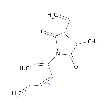 C=C/C=C\C(=C/C)N1C(=O)C(C)=C(C=C)C1=O